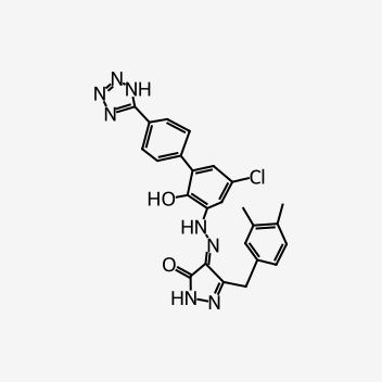 Cc1ccc(CC2=NNC(=O)C2=NNc2cc(Cl)cc(-c3ccc(-c4nnn[nH]4)cc3)c2O)cc1C